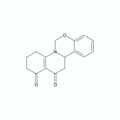 O=C1CCCC2=C1C(=O)CC1c3ccccc3OCN21